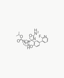 CC(C)OC(=O)N1CC[C@@H]2Oc3ccc(-c4cccnc4F)cc3C3(COC(N)=N3)[C@H]2C1